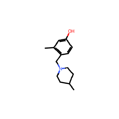 Cc1cc(O)ccc1CN1CCC(C)CC1